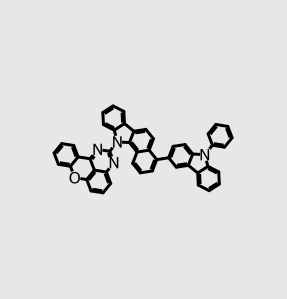 c1ccc(-n2c3ccccc3c3cc(-c4cccc5c4ccc4c6ccccc6n(-c6nc7c8c(cccc8n6)Oc6ccccc6-7)c54)ccc32)cc1